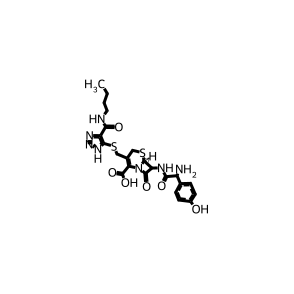 CCCCNC(=O)c1nn[nH]c1SCC1=C(C(=O)O)N2C(=O)C(NC(=O)C(N)c3ccc(O)cc3)[C@@H]2SC1